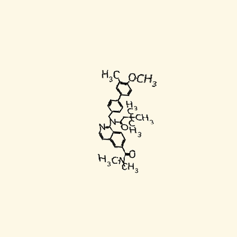 COc1ccc(-c2ccc(CN(C(=O)CC(C)(C)C)c3nccc4cc(C(=O)N(C)C)ccc34)cc2)cc1C